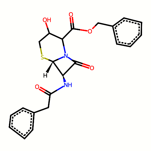 O=C(Cc1ccccc1)N[C@@H]1C(=O)N2C(C(=O)OCc3ccccc3)C(O)CS[C@@H]12